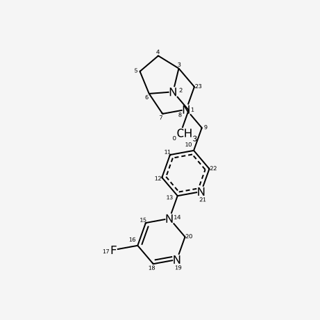 CCN1C2CCC1CN(Cc1ccc(N3C=C(F)C=NC3)nc1)C2